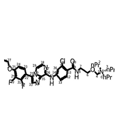 CCC[N+](CCC)(CCC)COCCNC(=O)c1ccc(Nc2nccn3c(-c4ccc(OCC#N)c(F)c4F)cnc23)cc1Cl